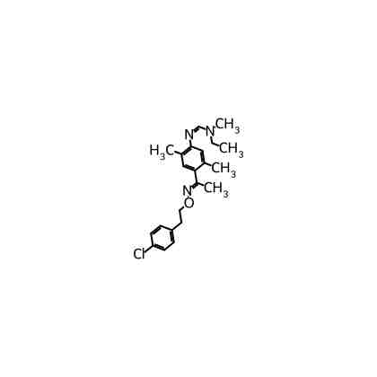 CCN(C)/C=N\c1cc(C)c(/C(C)=N/OCCc2ccc(Cl)cc2)cc1C